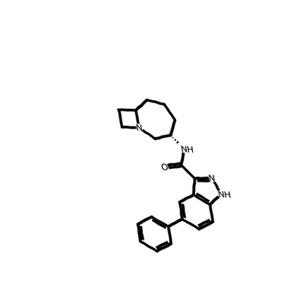 O=C(N[C@H]1CCCC2CCN2C1)c1n[nH]c2ccc(-c3ccccc3)cc12